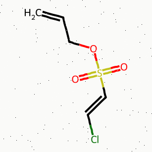 C=CCOS(=O)(=O)C=CCl